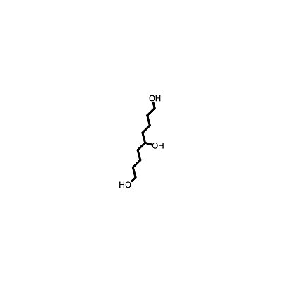 OCCCCC(O)CCCCO